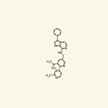 Cc1cc(-c2ncc(CNc3nccn4c(-c5ccccc5)cnc34)cc2N(C)C)ccn1